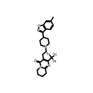 [2H]C([2H])([2H])c1nc2n(c(=O)c1CCN1CCC(c3noc4cc(C)ccc34)CC1)CCCC2